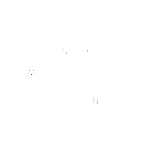 COc1noc2c1CNC(C)C2